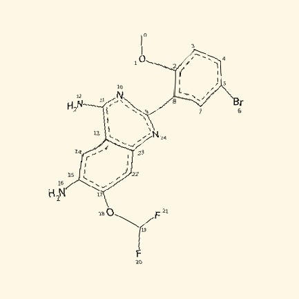 COc1ccc(Br)cc1-c1nc(N)c2cc(N)c(OC(F)F)cc2n1